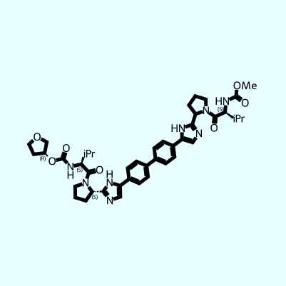 COC(=O)N[C@H](C(=O)N1CCCC1c1ncc(-c2ccc(-c3ccc(-c4cnc([C@@H]5CCCN5C(=O)[C@@H](NC(=O)O[C@@H]5CCOC5)C(C)C)[nH]4)cc3)cc2)[nH]1)C(C)C